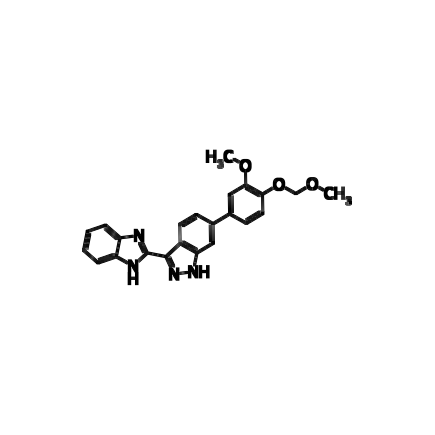 COCOc1ccc(-c2ccc3c(-c4nc5ccccc5[nH]4)n[nH]c3c2)cc1OC